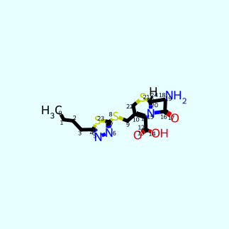 CCCCc1nnc(SCC2=C(C(=O)O)N3C(=O)C(N)[C@H]3SC2)s1